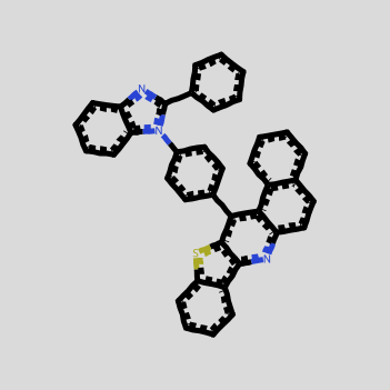 c1ccc(-c2nc3ccccc3n2-c2ccc(-c3c4sc5ccccc5c4nc4ccc5ccccc5c34)cc2)cc1